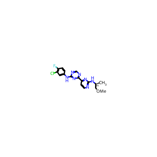 COC[C@H](C)Nc1nccc(-c2ncnc(Nc3ccc(F)c(Cl)c3)n2)n1